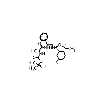 CC(C)[C@@H]1CC[C@@H](C)C[C@H]1C(=O)NCC(NC(=O)[C@@H](C)NC(=O)OC(C)(C)C)c1ccccc1